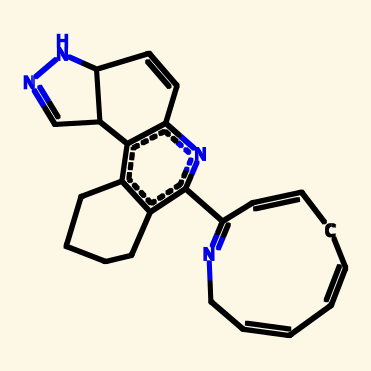 C1=CC2NN=CC2c2c1nc(C1=N/C/C=C\C=C/C/C=C\1)c1c2CCCC1